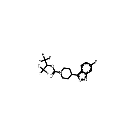 O=C(OC(C(F)(F)F)C(F)(F)F)N1CCC(c2noc3cc(F)ccc23)CC1